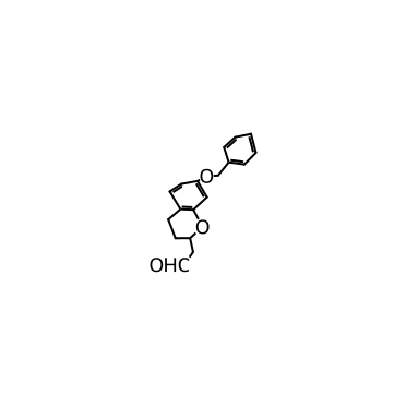 O=CCC1CCc2ccc(OCc3ccccc3)cc2O1